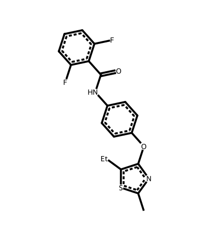 CCc1sc(C)nc1Oc1ccc(NC(=O)c2c(F)cccc2F)cc1